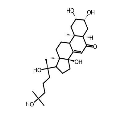 CC(C)(O)CCC[C@](C)(O)C1CC[C@@]2(O)C3=CC(=O)[C@@H]4C[C@@H](O)[C@@H](O)C[C@]4(C)C3CC[C@]12C